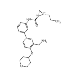 CCC[C@H]1C[C@@H]1C(=O)Nc1cccc(-c2ccc(OC3CCOCC3)c(CN)c2)c1